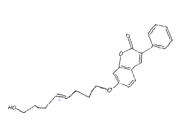 O=c1oc2cc(OCCC/C=C/CCCO)ccc2cc1-c1ccccc1